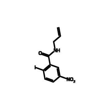 C=CCNC(=O)c1cc([N+](=O)[O-])ccc1I